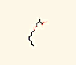 C=CC/C=C\CCCOCCC(=C)C(=O)O